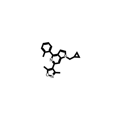 Cc1ccccc1-c1nc(-c2c(C)noc2C)cc2c1ccn2CC1CC1